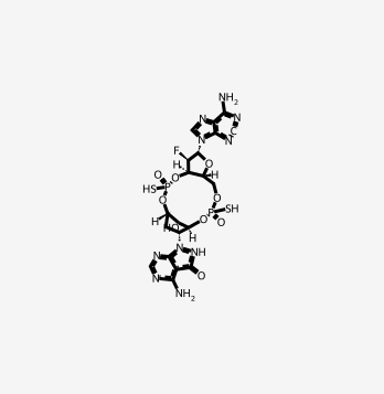 Nc1ncnc2c1ncn2[C@@H]1O[C@@H]2COP(=O)(S)O[C@@H]3C(O)[C@H](C[C@H]3n3[nH]c(=O)c4c(N)ncnc43)OP(=O)(S)O[C@H]2[C@H]1F